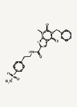 Cn1c(=O)n(Cc2ccccc2)c(=O)c2cc(C(=O)NCCc3ccc(S(N)(=O)=O)cc3)sc21